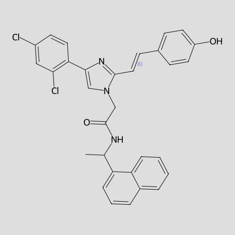 CC(NC(=O)Cn1cc(-c2ccc(Cl)cc2Cl)nc1/C=C/c1ccc(O)cc1)c1cccc2ccccc12